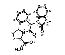 NC(=O)C1CCCN1C(=O)C(c1ccccc1)n1c(=O)[nH]c2ccccc21